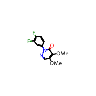 COc1cnn(-c2ccc(F)c(F)c2)c(=O)c1OC